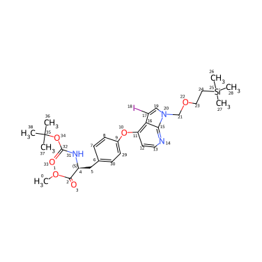 COC(=O)[C@H](Cc1ccc(Oc2ccnc3c2c(I)cn3COCC[Si](C)(C)C)cc1)NC(=O)OC(C)(C)C